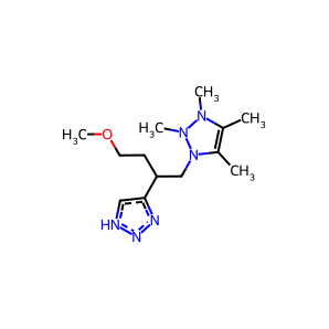 COCCC(CN1C(C)=C(C)N(C)N1C)c1c[nH]nn1